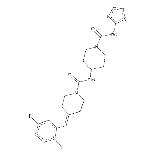 O=C(Nc1nccs1)N1CCC(NC(=O)N2CCC(=Cc3cc(F)ccc3F)CC2)CC1